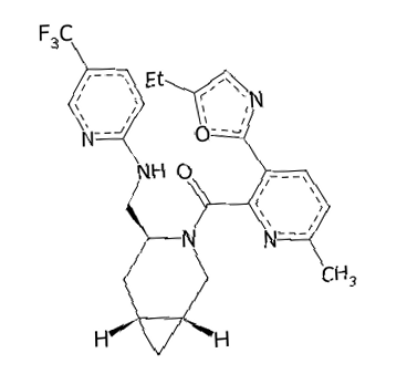 CCc1cnc(-c2ccc(C)nc2C(=O)N2C[C@@H]3C[C@@H]3C[C@H]2CNc2ccc(C(F)(F)F)cn2)o1